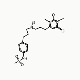 CCN(CCCc1ccc(NS(C)(=O)=O)cc1)CCCc1cc(=O)n(C)c(=O)n1C